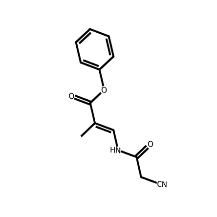 CC(=CNC(=O)CC#N)C(=O)Oc1ccccc1